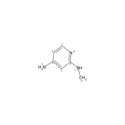 CBc1cc(N)ccn1